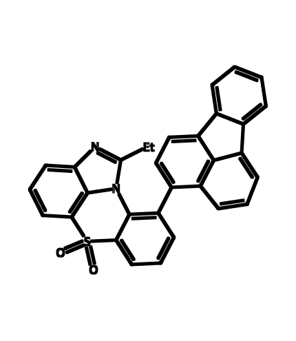 CCc1nc2cccc3c2n1-c1c(-c2ccc4c5c(cccc25)-c2ccccc2-4)cccc1S3(=O)=O